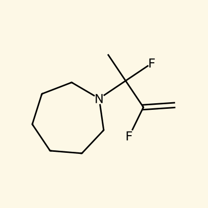 C=C(F)C(C)(F)N1CCCCCC1